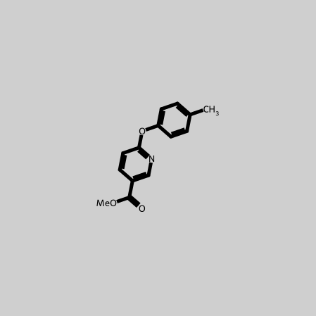 COC(=O)c1ccc(Oc2ccc(C)cc2)nc1